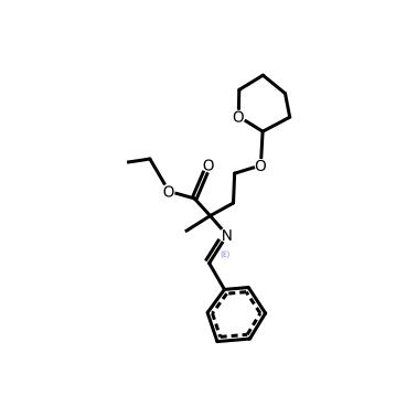 CCOC(=O)C(C)(CCOC1CCCCO1)/N=C/c1ccccc1